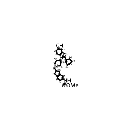 COC(=O)Nc1ccc2c(c1)CC(CN1CCC(n3c(-c4ccccc4)nc4cc(C)ccc43)CC1)C2